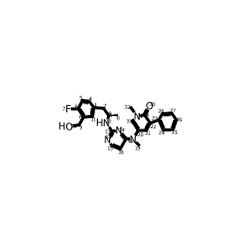 C[C@H](Cc1ccc(F)c(CO)c1)Nc1nccc(N(C)c2cc(-c3ccccc3)c(=O)n(C)c2)n1